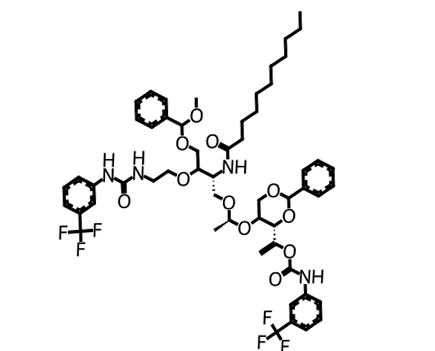 C=C(OC(=O)Nc1cccc(C(F)(F)F)c1)[C@H]1OC(c2ccccc2)OCC1O[C@@H](C)OC[C@@H](NC(=O)CCCCCCCCCC)C(COC(OC)c1ccccc1)OCCNC(=O)Nc1cccc(C(F)(F)F)c1